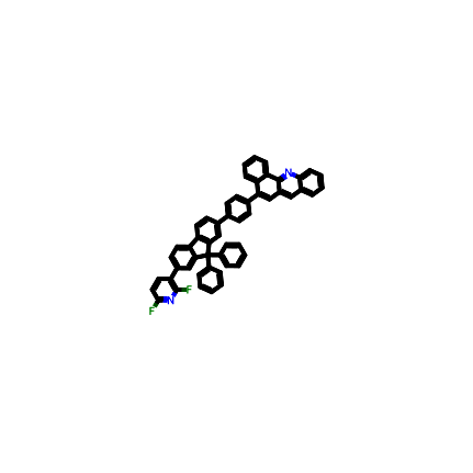 Fc1ccc(-c2ccc3c(c2)C(c2ccccc2)(c2ccccc2)c2cc(-c4ccc(-c5cc6cc7ccccc7nc6c6ccccc56)cc4)ccc2-3)c(F)n1